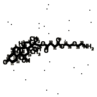 C[C@@H]1C[C@H]2[C@@H]3CCC4=CC(=O)C=C[C@]4(C)[C@@]3(F)[C@@H](O)C[C@]2(C)[C@@]1(O)C(=O)COC(=O)CCC(=O)OCCOCCN